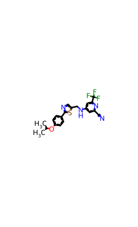 CC(C)Oc1ccc(-c2ncc(CNc3cc(C#N)nc(C(F)(F)F)c3)s2)cc1